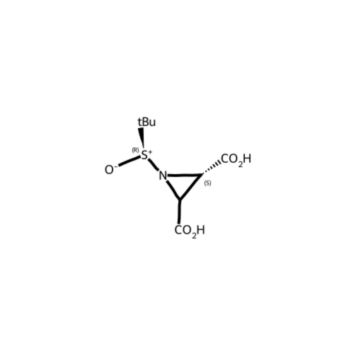 CC(C)(C)[S@+]([O-])N1C(C(=O)O)[C@H]1C(=O)O